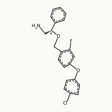 NC[C@H](OCc1ccc(Oc2ccc(Cl)cc2)cc1F)c1ccccc1